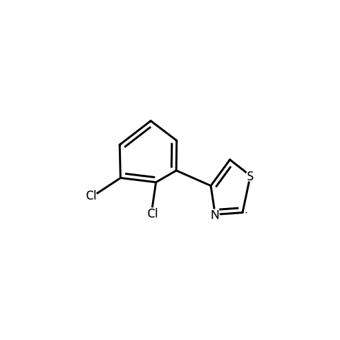 Clc1cccc(-c2cs[c]n2)c1Cl